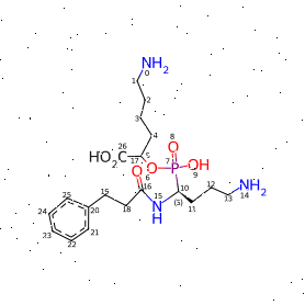 NCCCCC(OP(=O)(O)[C@@H](CCCN)NC(=O)CCc1ccccc1)C(=O)O